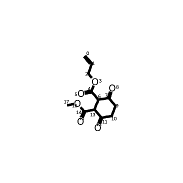 C=CCOC(=O)C1C(=O)CCC(=O)C1C(=O)OC